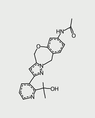 CC(=O)Nc1ccc2c(c1)OCc1cc(-c3cccnc3C(C)(C)O)nn1C2